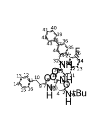 CC(C)(C)NC(=O)C[C@H](NC(=O)CCc1ccccc1)C(=O)NC(Cc1ccc(F)cc1)C(=O)NCc1cccc(-c2ccccc2)c1